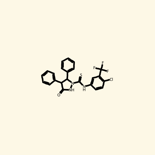 O=C1NN(C(=S)Nc2ccc(Cl)c(C(F)(F)F)c2)C(c2ccccc2)C1c1ccccc1